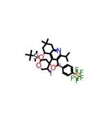 CC(C)c1nc2c(c3c1[C@@H](c1ccc(S(F)(F)(F)(F)F)cc1)OC31CCOCC1I)C(O[Si](C)(C)C(C)(C)C)CC(C)(C)C2